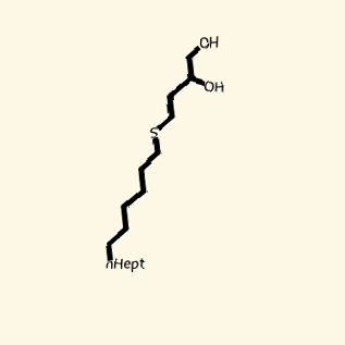 CCCCCCCCCCCCCSCCC(O)CO